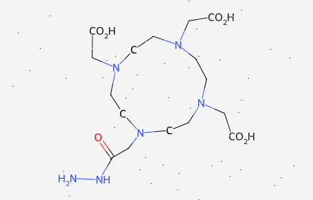 NNC(=O)CN1CCN(CC(=O)O)CCN(CC(=O)O)CCN(CC(=O)O)CC1